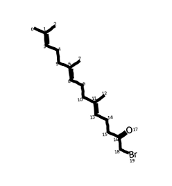 CC(C)=CCC/C(C)=C/CC/C(C)=C/CCC(=O)CBr